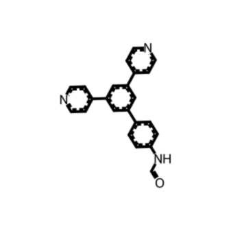 O=CNc1ccc(-c2cc(-c3ccncc3)cc(-c3ccncc3)c2)cc1